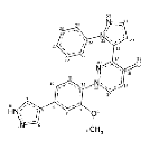 COc1cc(-c2cn[nH]c2)ccc1-n1ccc(=O)c(-c2ccnn2-c2ccccc2)n1